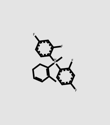 CC1=C([PH](C)(c2ccc(F)cc2F)c2ccc(F)cc2F)CCC=C1